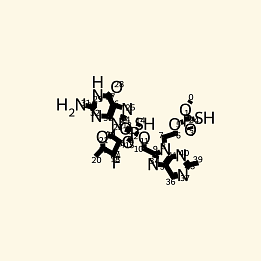 COP(=O)(S)OCCn1c(COP(=O)(S)O[C@@H]2[C@H](F)C(C)O[C@H]2n2cnc3c(=O)[nH]c(N)nc32)nc2cnc(C)nc21